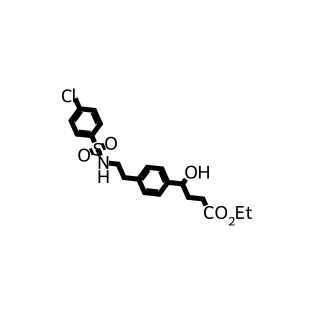 CCOC(=O)CCC(O)c1ccc(CCNS(=O)(=O)c2ccc(Cl)cc2)cc1